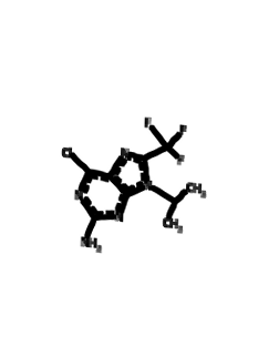 CC(C)n1c(C(F)(F)F)nc2c(Cl)nc(N)nc21